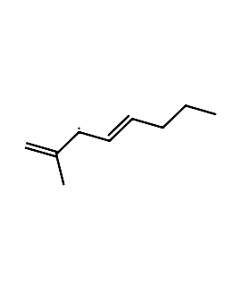 C=C(C)[CH]C=CCCC